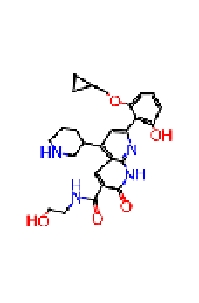 O=C(NCCO)c1cc2c(C3CCCNC3)cc(-c3c(O)cccc3OCC3CC3)nc2[nH]c1=O